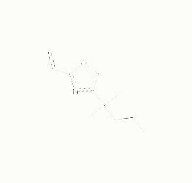 C=Cc1nc(C(C)(C)CCC)co1